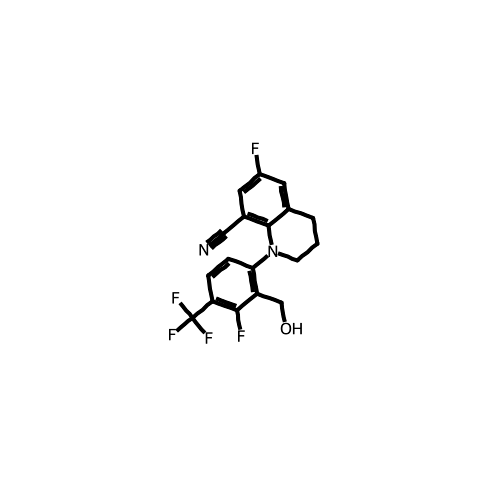 N#Cc1cc(F)cc2c1N(c1ccc(C(F)(F)F)c(F)c1CO)CCC2